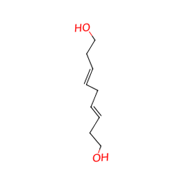 OCC/C=C/C/C=C/CCO